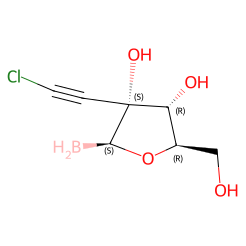 B[C@@H]1O[C@H](CO)[C@@H](O)[C@]1(O)C#CCl